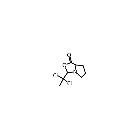 CC(Cl)(Cl)C1OC(=O)C2CCCN21